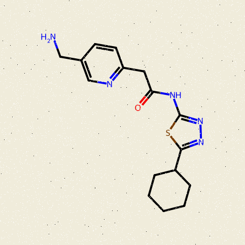 NCc1ccc(CC(=O)Nc2nnc(C3CCCCC3)s2)nc1